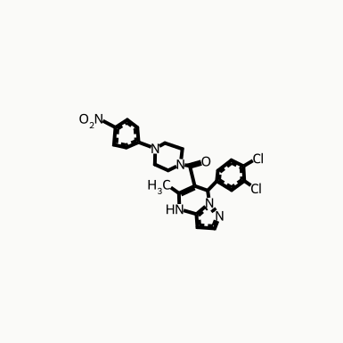 CC1=C(C(=O)N2CCN(c3ccc([N+](=O)[O-])cc3)CC2)C(c2ccc(Cl)c(Cl)c2)n2nccc2N1